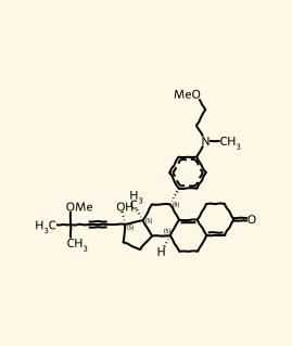 COCCN(C)c1ccc([C@H]2C[C@@]3(C)C(CC[C@@]3(O)C#CC(C)(C)OC)[C@@H]3CCC4=CC(=O)CCC4=C32)cc1